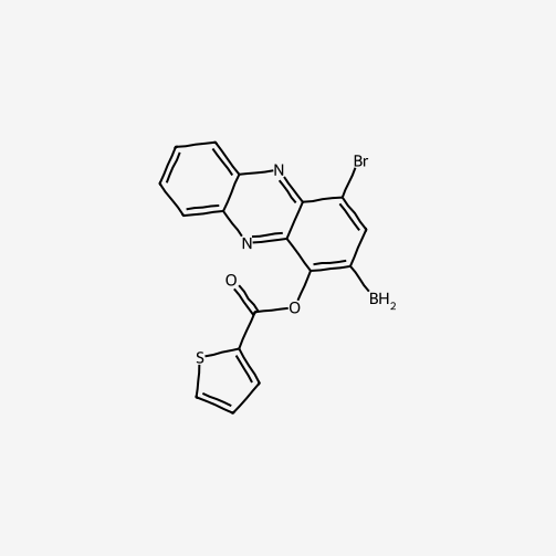 Bc1cc(Br)c2nc3ccccc3nc2c1OC(=O)c1cccs1